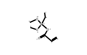 C=CC(=O)O[Si](CC)(OC)OC